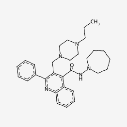 CCCN1CCN(Cc2c(-c3ccccc3)nc3ccccc3c2C(=O)NN2CCCCCC2)CC1